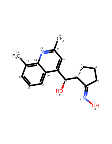 O/N=C1\CCC[C@H]1[C@@H](O)c1cc(C(F)(F)F)nc2c(C(F)(F)F)cccc12